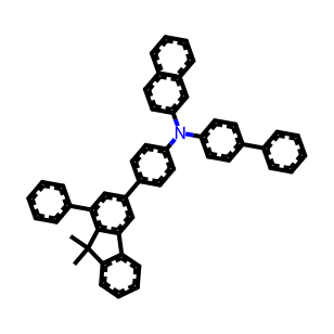 CC1(C)c2ccccc2-c2cc(-c3ccc(N(c4ccc(-c5ccccc5)cc4)c4ccc5ccccc5c4)cc3)cc(-c3ccccc3)c21